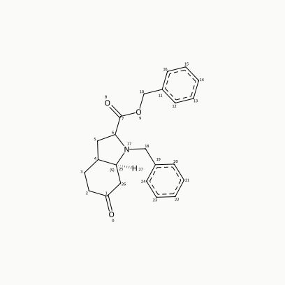 O=C1CCC2CC(C(=O)OCc3ccccc3)N(Cc3ccccc3)[C@H]2C1